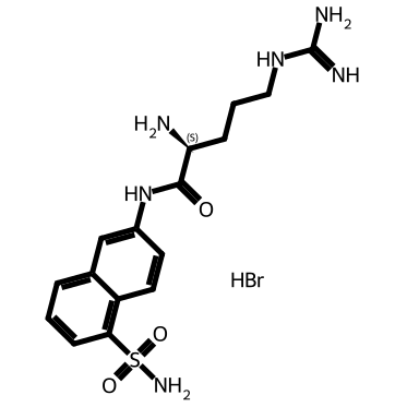 Br.N=C(N)NCCC[C@H](N)C(=O)Nc1ccc2c(S(N)(=O)=O)cccc2c1